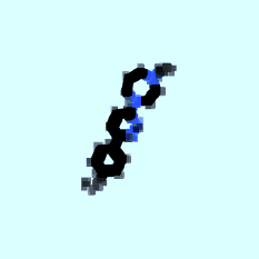 CC(C)N1CCCN(c2ccc(-c3ccc(C(F)(F)F)cc3)nn2)CC1